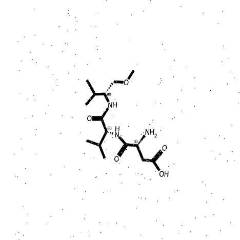 COC[C@H](NC(=O)[C@H](NC(=O)[C@@H](N)CC(=O)O)C(C)C)C(C)C